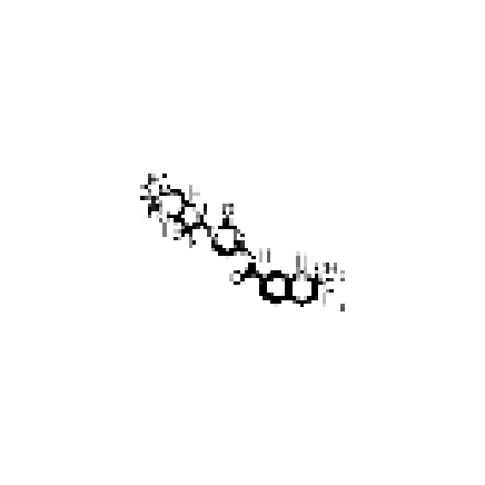 CC(C)OP1(=O)OC[C@H]2OC(n3ccc(NC(=O)c4ccc5c(c4)NC(C)(C)CC5)nc3=O)C(F)(F)[C@@H]2O1